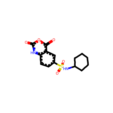 O=c1[nH]c2ccc(S(=O)(=O)NC3CCCCC3)cc2c(=O)o1